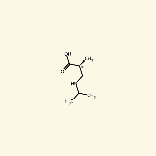 CC(C)NC[C@H](C)C(=O)O